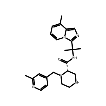 Cc1cc(CN2CCNC[C@H]2C(=O)NC(C)(C)c2ncc3c(C)cccn23)ccn1